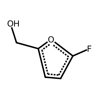 OCc1ccc(F)o1